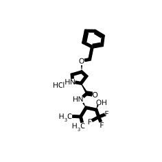 CC(C)[C@H](NC(=O)[C@@H]1C[C@@H](OCc2ccccc2)CN1)[C@H](O)C(F)(F)F.Cl